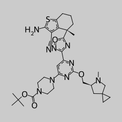 CN1CC2(CC2)C[C@H]1COc1nc(-c2noc([C@@]3(C)CCCc4sc(N)c(C#N)c43)n2)cc(N2CCN(C(=O)OC(C)(C)C)CC2)n1